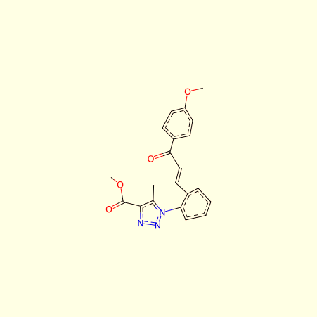 COC(=O)c1nnn(-c2ccccc2/C=C/C(=O)c2ccc(OC)cc2)c1C